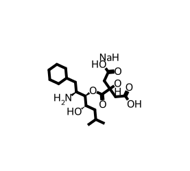 CC(C)C[C@H](O)[C@H](OC(=O)C(O)(CC(=O)O)CC(=O)O)[C@@H](N)CC1CCCCC1.[NaH]